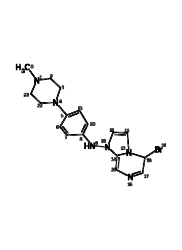 CN1CCN(c2ccc(NN3C=CN4C3=CN=CC4Br)cc2)CC1